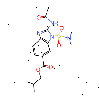 CC(=O)Nc1nc2ccc(C(=O)OCC(C)C)cc2n1S(=O)(=O)N(C)C